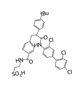 CC(C)(C)c1ccc(C(Cc2ccc(C(=O)NCCS(=O)(=O)O)cc2)C(=O)Nc2ccc(-c3ccc(Cl)cc3Cl)cc2Cl)cc1